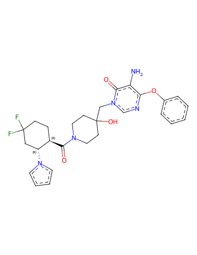 Nc1c(Oc2ccccc2)ncn(CC2(O)CCN(C(=O)[C@@H]3CCC(F)(F)C[C@H]3n3cccc3)CC2)c1=O